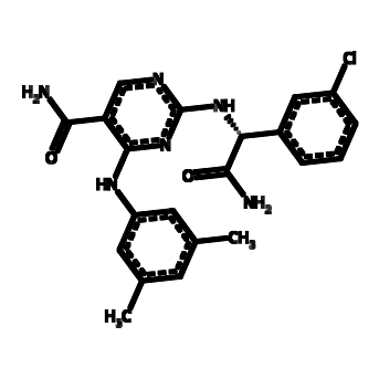 Cc1cc(C)cc(Nc2nc(N[C@@H](C(N)=O)c3cccc(Cl)c3)ncc2C(N)=O)c1